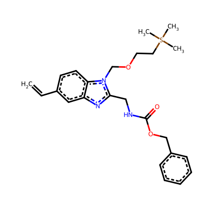 C=Cc1ccc2c(c1)nc(CNC(=O)OCc1ccccc1)n2COCCS(C)(C)C